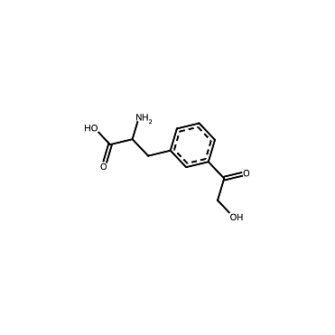 NC(Cc1cccc(C(=O)CO)c1)C(=O)O